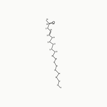 CCCCCCCCCCCCCCC/C=C/CC(C)=O